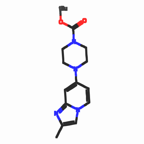 Cc1cn2ccc(N3CCN(C(=O)OC(C)(C)C)CC3)cc2n1